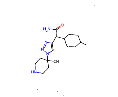 CC1CCC([C](C(N)=O)c2cn(C3(C#N)CCNCC3)nn2)CC1